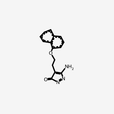 NC1=C(CCOc2cccc3ccccc23)C(=O)N=N1